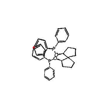 c1ccc(P(O[C@H]2CCCC23CCC[C@H]3OP(c2ccccc2)c2ccccc2)c2ccccc2)cc1